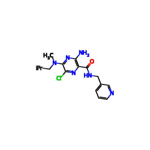 CC(C)CN(C)c1nc(N)c(C(=O)NCc2cccnc2)nc1Cl